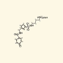 CCCCCCNCCCCNS(=O)(=O)c1ccc(CNC(=O)c2ccc(Cl)cc2)s1